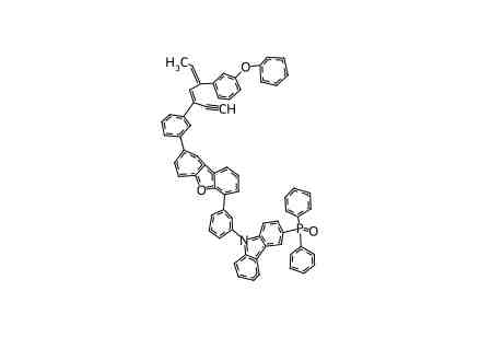 C#C/C(=C\C(=C/C)c1cccc(Oc2ccccc2)c1)c1cccc(-c2ccc3oc4c(-c5cccc(-n6c7ccccc7c7cc(P(=O)(c8ccccc8)c8ccccc8)ccc76)c5)cccc4c3c2)c1